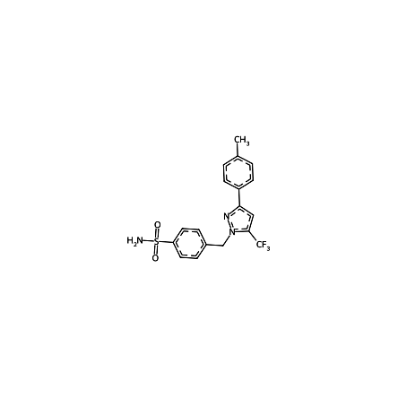 Cc1ccc(-c2cc(C(F)(F)F)n(Cc3ccc(S(N)(=O)=O)cc3)n2)cc1